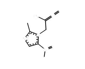 Cc1ncc([N+](=O)[O-])n1CC(N)=C=O